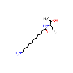 C=C(O)C(CC)NC(=O)CCCCCCCCCCN